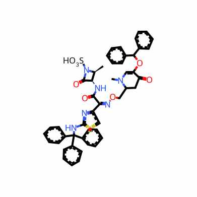 C[C@H]1[C@H](NC(=O)/C(=N\OCC2CC(=O)C(OC(c3ccccc3)c3ccccc3)=CN2C)c2csc(NC(c3ccccc3)(c3ccccc3)c3ccccc3)n2)C(=O)N1S(=O)(=O)O